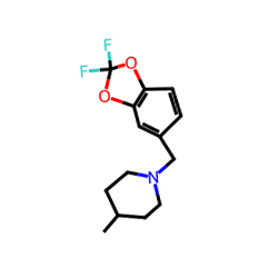 CC1CCN(Cc2ccc3c(c2)OC(F)(F)O3)CC1